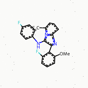 COc1cccc(F)c1-c1nc2cccc(C(F)(F)F)n2c1Nc1ccc(F)cc1